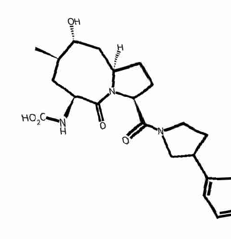 C[C@@H]1C[C@H](NC(=O)O)C(=O)N2[C@H](CC[C@H]2C(=O)N2CCC(c3ccccc3)C2)C[C@H]1O